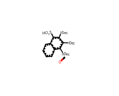 C=O.CCCCCCCCCCc1c(CCCCCCCCCC)c(S(=O)(=O)O)c2ccccc2c1CCCCCCCCCC